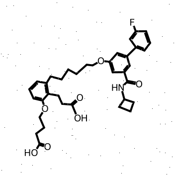 O=C(O)CCCOc1cccc(CCCCCCOc2cc(C(=O)NC3CCC3)cc(-c3cccc(F)c3)c2)c1CCC(=O)O